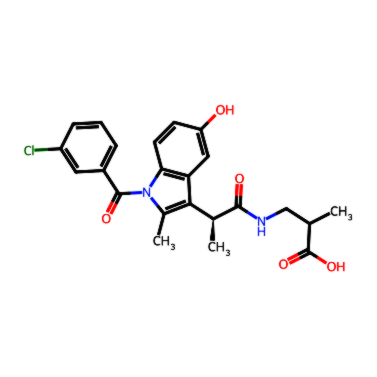 Cc1c([C@H](C)C(=O)NCC(C)C(=O)O)c2cc(O)ccc2n1C(=O)c1cccc(Cl)c1